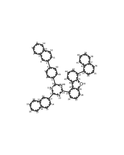 c1ccc2cc(-c3ccc(-c4nc(-c5ccc6ccccc6c5)nc(-c5cccc6oc7c(-c8cccc9ccccc89)cccc7c56)n4)cc3)ccc2c1